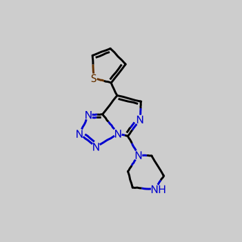 c1csc(-c2cnc(N3CCNCC3)n3nnnc23)c1